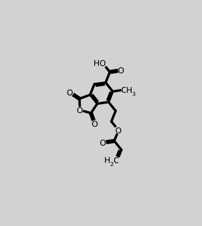 C=CC(=O)OCCc1c(C)c(C(=O)O)cc2c1C(=O)OC2=O